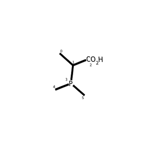 CC(C(=O)O)P(C)C